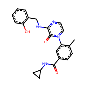 Cc1ccc(C(=O)NC2CC2)cc1-n1ccnc(NCc2ccccc2O)c1=O